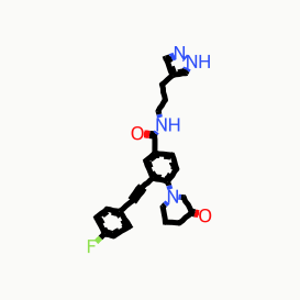 O=C1CCCN(c2ccc(C(=O)NCCCc3cn[nH]c3)cc2C#Cc2ccc(F)cc2)C1